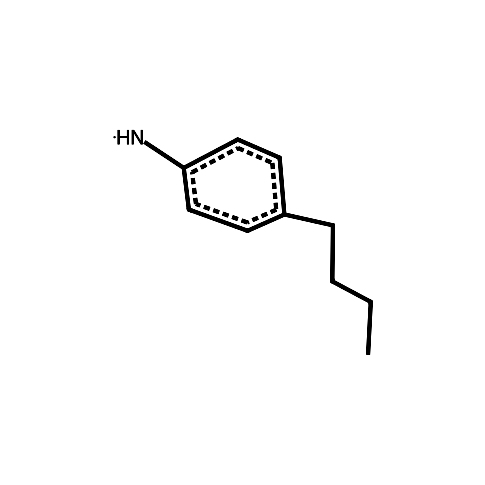 CCCCc1ccc([NH])cc1